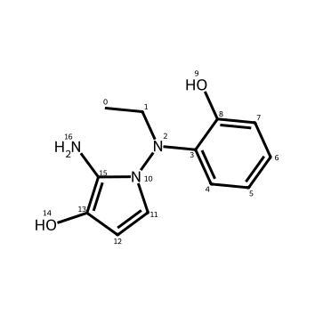 CCN(c1ccccc1O)n1ccc(O)c1N